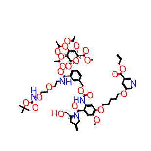 C=CCOC(=O)c1cncc(OCCCCCOc2cc(NC(=O)OCc3ccc(O[C@@H]4O[C@H](C(=O)OC)[C@@H](OC(C)=O)[C@H](OC(C)=O)[C@H]4OC(C)=O)c(C(=O)NCCOCCONC(=O)OC(C)(C)C)c3)c(C(=O)N3CC(=C)C[C@H]3CO)cc2OC)c1